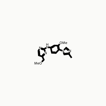 COCc1ccnc(Nc2ccc(-n3cnc(C)c3)c(OC)c2)n1